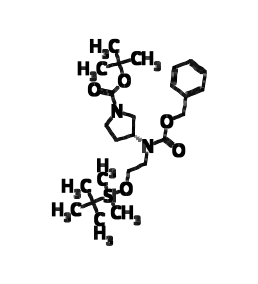 CC(C)(C)OC(=O)N1CC[C@@H](N(CCO[Si](C)(C)C(C)(C)C)C(=O)OCc2ccccc2)C1